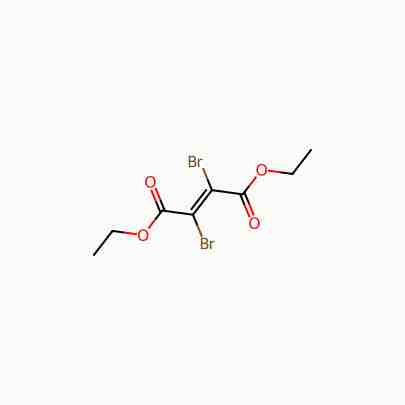 CCOC(=O)C(Br)=C(Br)C(=O)OCC